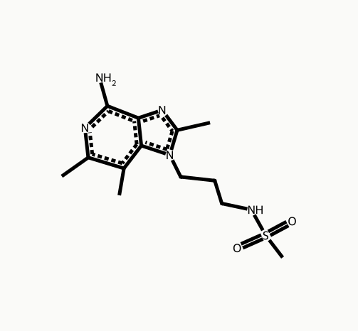 Cc1nc(N)c2nc(C)n(CCCNS(C)(=O)=O)c2c1C